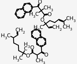 C=CC(C)(CCC=C(C)C)OC(=O)C(C)(C)C(=O)c1ccc2ccccc2c1.C=CC(C)CCCC(C)(C)OC(=O)C(C)C(=O)c1ccc2ccccc2c1